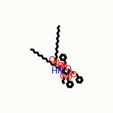 C=CCO[C@@H]1[C@H](NC(=O)C[C@@H](CCCCCCCCCCC)OC(=O)CCCCCCCCCCCCC)[C@@H](OCc2ccccc2)O[C@H](COCc2ccccc2)[C@H]1OCc1ccccc1